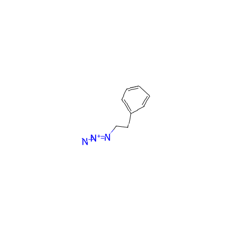 [N-]=[N+]=NCCc1ccccc1